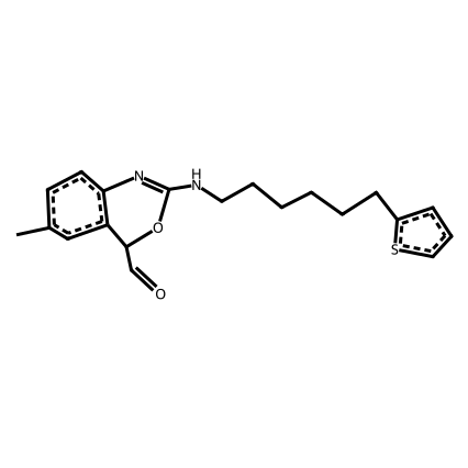 Cc1ccc2c(c1)C(C=O)OC(NCCCCCCc1cccs1)=N2